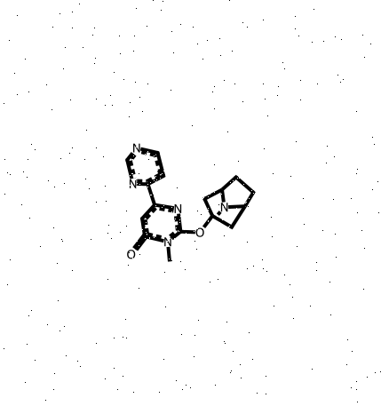 CN1C2CCC1CC(Oc1nc(-c3ccncn3)cc(=O)n1C)C2